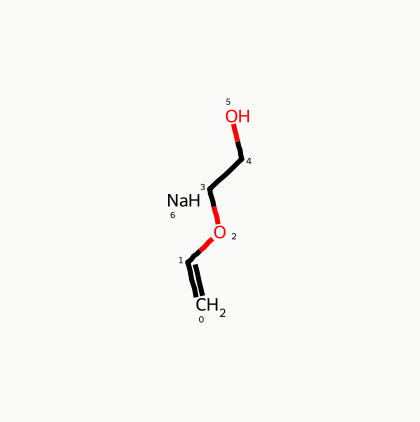 C=COCCO.[NaH]